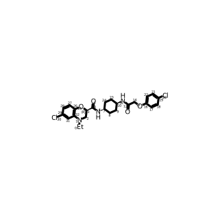 CCN1C[C@H](C(=O)N[C@H]2CC[C@H](NC(=O)COc3ccc(Cl)cc3)CC2)Oc2ccc(Cl)cc21